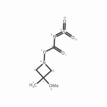 COC1(C)CN(OC(=O)N=S(=O)=O)C1